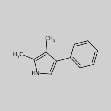 Cc1[nH]cc(-c2ccccc2)c1C